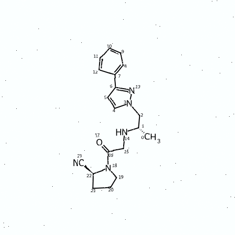 C[C@@H](Cn1ccc(-c2ccccc2)n1)NCC(=O)N1CCC[C@H]1C#N